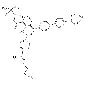 CCCC/C=C(\C)C1=CC=C(c2cc(-c3ccc(-c4ccc(-c5ccncc5)cc4)cc3)c3ccc4cc(C(C)(C)C)cc5ccc2c3c54)CC1